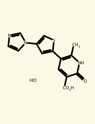 Cc1[nH]c(=O)c(C(=O)O)cc1-c1cc(-n2ccnc2)cs1.Cl